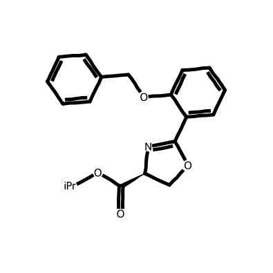 CC(C)OC(=O)[C@@H]1COC(c2ccccc2OCc2ccccc2)=N1